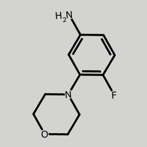 Nc1ccc(F)c(N2CCOCC2)c1